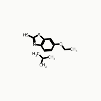 CC(C)C.CCOc1ccc2nc(S)sc2c1